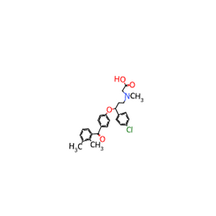 Cc1cccc(C(=O)c2ccc(OC(CCN(C)CC(=O)O)c3ccc(Cl)cc3)cc2)c1C